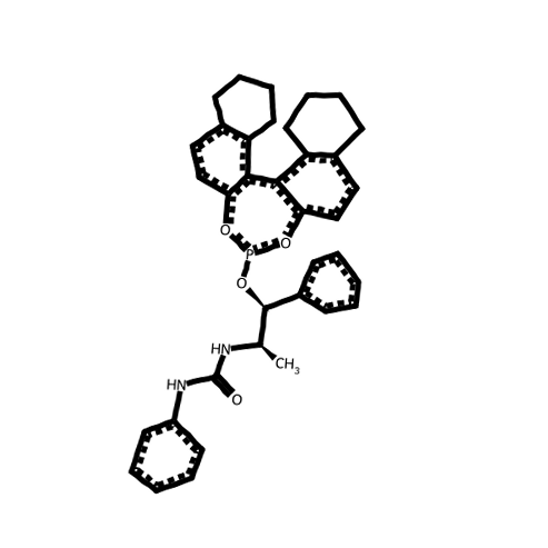 C[C@@H](NC(=O)Nc1ccccc1)[C@@H](Op1oc2ccc3c(c2c2c4c(ccc2o1)CCCC4)CCCC3)c1ccccc1